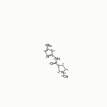 CC(C)(C)c1cnc(NC(=O)C2CCN(C#N)C2)s1